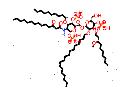 CCCCCC/C=C\CCCCCCCCCCO[C@H]1[C@H](OC[C@H]2O[C@H](OP(=O)(O)O)[C@@H](NC(=O)CC(=O)CCCCCCCCCCC)[C@@H](OCCCCCCCCCC)[C@@H]2OP(=O)(O)O)O[C@H](CO)[C@@H](OP(=O)(O)O)[C@@H]1OCC[C@H](CCCCCCC)OC